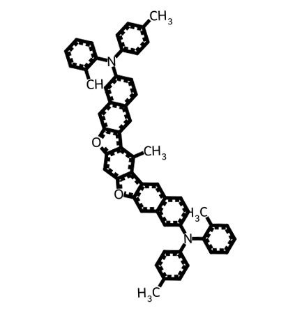 Cc1ccc(N(c2ccc3cc4c(cc3c2)oc2cc3oc5cc6cc(N(c7ccc(C)cc7)c7ccccc7C)ccc6cc5c3c(C)c24)c2ccccc2C)cc1